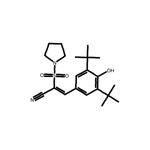 CC(C)(C)c1cc(C=C(C#N)S(=O)(=O)N2CCCC2)cc(C(C)(C)C)c1O